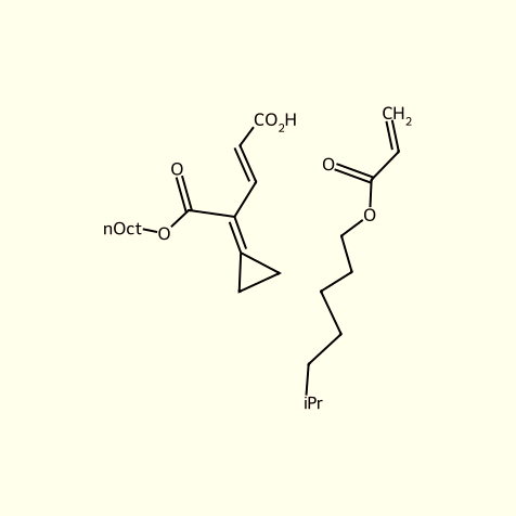 C=CC(=O)OCCCCCC(C)C.CCCCCCCCOC(=O)C(C=CC(=O)O)=C1CC1